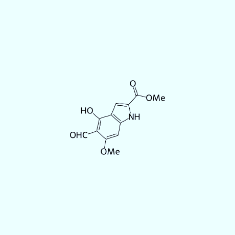 COC(=O)c1cc2c(O)c(C=O)c(OC)cc2[nH]1